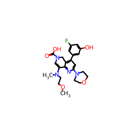 COCCN(C)C1=CN(C(=O)O)Cc2c(-c3cc(O)cc(F)c3)cc(N3CCOCC3)nc21